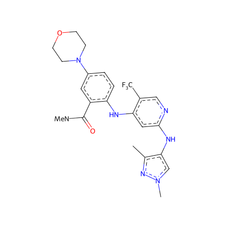 CNC(=O)c1cc(N2CCOCC2)ccc1Nc1cc(Nc2cn(C)nc2C)ncc1C(F)(F)F